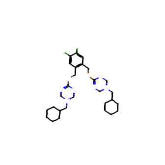 Clc1cc(CSC2=NCN(CC3CCCCC3)CN2)c(CSC2=NCN(CC3CCCCC3)CN2)cc1Cl